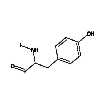 O=[C]C(Cc1ccc(O)cc1)NI